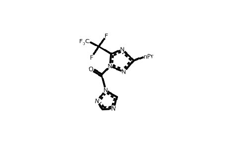 CCCc1nc(C(F)(F)C(F)(F)F)n(C(=O)n2cncn2)n1